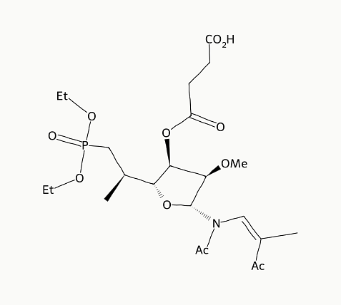 CCOP(=O)(C[C@H](C)[C@H]1O[C@@H](N(/C=C(/C)C(C)=O)C(C)=O)[C@H](OC)[C@@H]1OC(=O)CCC(=O)O)OCC